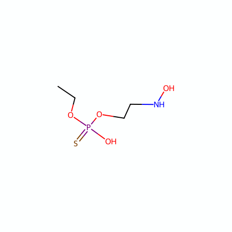 CCOP(O)(=S)OCCNO